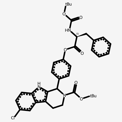 CC(C)(C)OC(=O)N[C@@H](Cc1ccccc1)C(=O)Oc1ccc(C2c3[nH]c4ccc(Cl)cc4c3CCN2C(=O)OC(C)(C)C)cc1